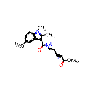 COC(=O)/C=C/CCNC(=O)c1c(C)n(C)c2ccc(OC)cc12